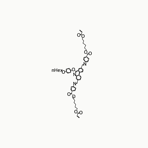 C=CC(=O)OCCCCCCOC(=O)c1ccc(N=Cc2ccc3c(c2)nc(Oc2ccc(OCCCCCC)cc2)c2cc(C=Nc4ccc(C(=O)OCCCCCCOC(=O)C=C)cc4)ccc23)cc1